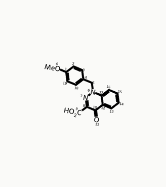 COc1ccc(Cn2nc(C(=O)O)c(=O)c3ccccc32)cc1